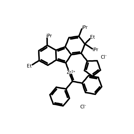 CCc1cc(C(C)C)c2c(c1)=[C]([Zr+2]=[C](c1ccccc1)c1ccccc1)C1=C(C3=CC=CC3)C(CC)(C(C)C)C(C(C)C)=CC=21.[Cl-].[Cl-]